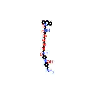 NCCc1ccc(/N=N/c2ccc(C(=O)NCCOCCOCCOCCOCCC(=O)NCCC(=O)N3Cc4ccccc4C#Cc4ccccc43)cc2)c(O)c1